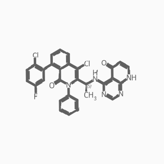 C[C@H](Nc1ncnc2[nH]ccc(=O)c12)c1c(Cl)c2cccc(-c3cc(F)ccc3Cl)c2c(=O)n1-c1ccccc1